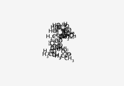 CC(=O)O[C@@]12CO[C@@H]1C[C@H](O)[C@@]1(C)C(=O)[C@H](O)C3=C(C)C4[C@@H](OC(=O)[C@H](OC(=O)C5CCC(C(=O)C(C)C)O5)[C@@H](NC(=O)OC(C)(C)C)c5ccccc5)C[C@@](O)([C@@H](OC(=O)c5ccccc5)[C@H]21)C34C